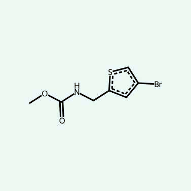 COC(=O)NCc1cc(Br)cs1